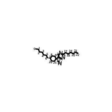 CCCCCCC[C@H]1CC[C@@](C#N)(c2cnc(CCCCCC)nc2)CC1